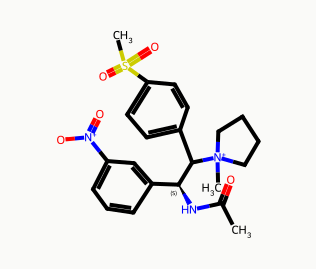 CC(=O)N[C@@H](c1cccc([N+](=O)[O-])c1)C(c1ccc(S(C)(=O)=O)cc1)[N+]1(C)CCCC1